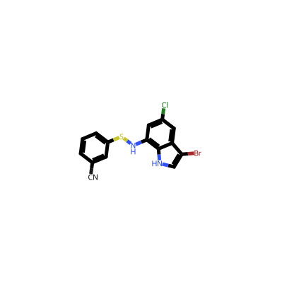 N#Cc1cccc(SNc2cc(Cl)cc3c(Br)c[nH]c23)c1